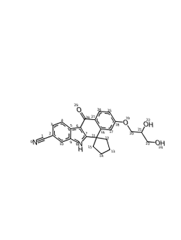 N#Cc1ccc2c3c([nH]c2c1)C1(CCCC1)c1cc(OCC(O)CO)ccc1C3=O